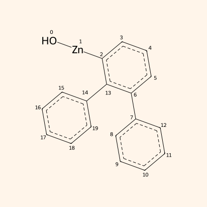 [OH][Zn][c]1cccc(-c2ccccc2)c1-c1ccccc1